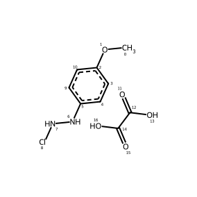 COc1ccc(NNCl)cc1.O=C(O)C(=O)O